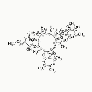 CO/N=C1\C[C@@H](C)O[C@@H](O[C@@H]2[C@@H](C)[C@H](O[C@H]3C[C@@H](C)N(C)C[C@H](C)O3)[C@@H](C)C(=O)O[C@H](C(C)CO[C@@H]3O[C@H](C)[C@@H](O)[C@@H](OC)[C@H]3OC)[C@H](C)[C@@H](OC(=O)CC(C)C)[C@@H](C)C(=O)[C@@](C)(O)C[C@@H]2C)[C@@H]1O